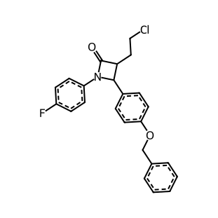 O=C1C(CCCl)C(c2ccc(OCc3ccccc3)cc2)N1c1ccc(F)cc1